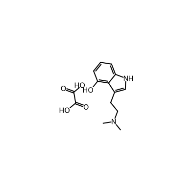 CN(C)CCc1c[nH]c2cccc(O)c12.O=C(O)C(=O)O